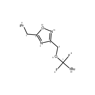 CC(C)Cc1nc(COC(F)(F)C(C)(C)C)no1